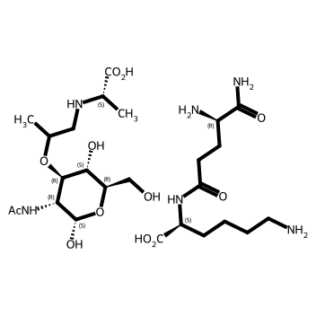 CC(=O)N[C@@H]1[C@@H](OC(C)CN[C@@H](C)C(=O)O)[C@H](O)[C@@H](CO)O[C@@H]1O.NCCCC[C@H](NC(=O)CC[C@@H](N)C(N)=O)C(=O)O